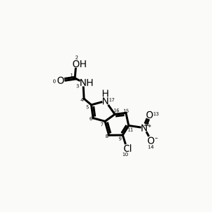 O=C(O)NCc1cc2cc(Cl)c([N+](=O)[O-])cc2[nH]1